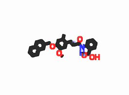 COC1=C(OCc2ccc3ccccc3c2)CC(C)C(/C=C/C(=O)Nc2ccccc2C(=O)O)=C1